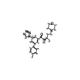 Cc1ccc(-c2cc(C(=O)NC(C)CCN3CCOCC3)cc(-n3cnnn3)c2)cc1